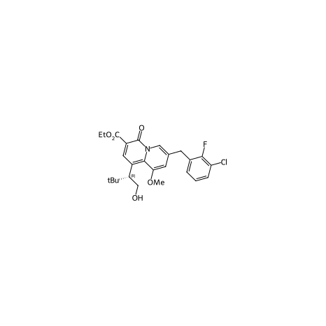 CCOC(=O)c1cc([C@H](CO)C(C)(C)C)c2c(OC)cc(Cc3cccc(Cl)c3F)cn2c1=O